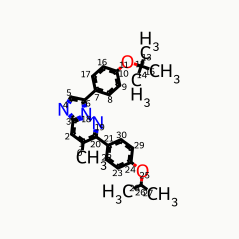 Cc1cc2ncc(-c3ccc(OC(C)(C)C)cc3)n2nc1-c1ccc(OC(C)C)cc1